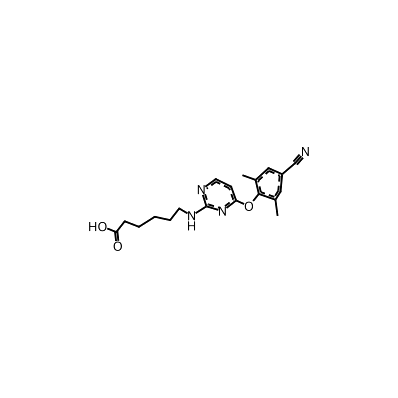 Cc1cc(C#N)cc(C)c1Oc1ccnc(NCCCCCC(=O)O)n1